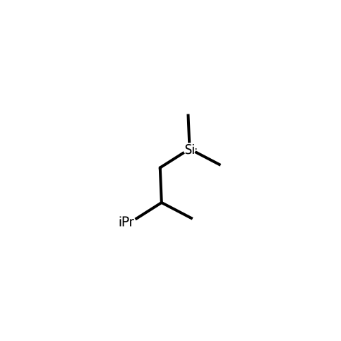 CC(C)C(C)C[Si](C)C